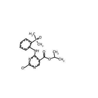 CC(C)OC(=O)c1cnc(Cl)nc1Nc1ccccc1P(C)(C)=O